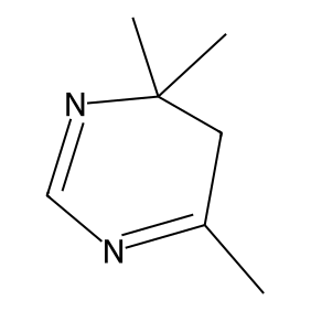 CC1=NC=NC(C)(C)C1